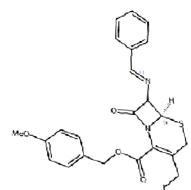 COc1ccc(COC(=O)C2=C(CI)CS[C@@H]3C(/N=C/c4ccccc4)C(=O)N23)cc1